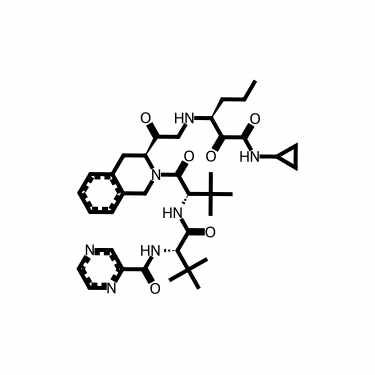 CCC[C@H](NCC(=O)[C@@H]1Cc2ccccc2CN1C(=O)[C@@H](NC(=O)[C@@H](NC(=O)c1cnccn1)C(C)(C)C)C(C)(C)C)C(=O)C(=O)NC1CC1